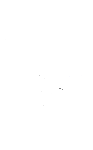 COc1ccc(C(OC[C@H]2O[C@@H](c3cnn4c(=O)[nH]cnc34)[C@H](O[Si](C)(C)C(C)(C)C)[C@@H]2O[PH](=O)O)(c2ccccc2)c2ccc(OC)cc2)cc1